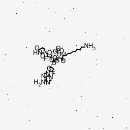 COP(=O)(O)OC[C@H]1O[C@@H](n2ccc(=O)[nH]c2=O)[C@H](F)[C@@H]1OP(=O)(OC[C@@H]1C[C@@H](F)[C@H](n2cnc3c(N)ncnc32)O1)SCC(=O)CCCCCCCCCCN